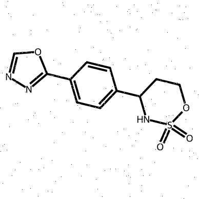 O=S1(=O)NC(c2ccc(-c3nnco3)cc2)CCO1